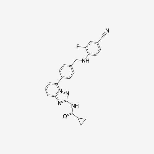 N#Cc1ccc(NCc2ccc(-c3cccc4nc(NC(=O)C5CC5)nn34)cc2)c(F)c1